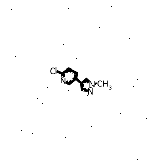 Cn1cc(-c2ccc(Cl)nc2)cn1